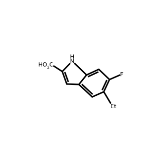 CCc1cc2cc(C(=O)O)[nH]c2cc1F